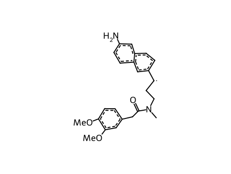 COc1ccc(CC(=O)N(C)CC[CH]c2ccc3cc(N)ccc3c2)cc1OC